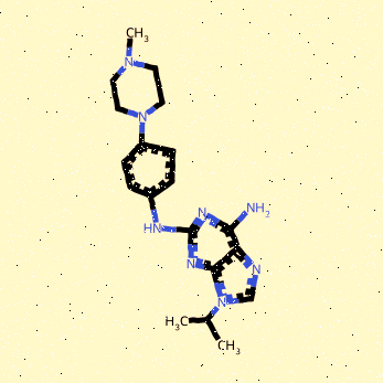 CC(C)n1cnc2c(N)nc(Nc3ccc(N4CCN(C)CC4)cc3)nc21